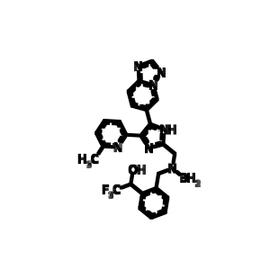 BN(Cc1nc(-c2cccc(C)n2)c(-c2ccc3ncnn3c2)[nH]1)Cc1ccccc1C(O)C(F)(F)F